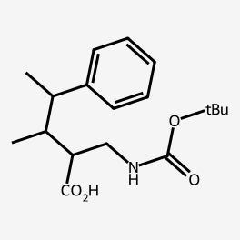 CC(c1ccccc1)C(C)C(CNC(=O)OC(C)(C)C)C(=O)O